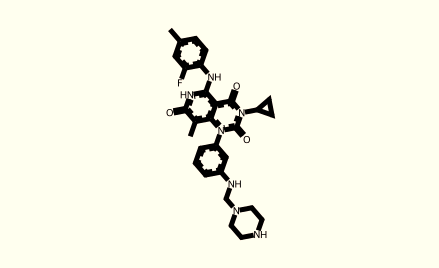 Cc1ccc(Nc2[nH]c(=O)c(C)c3c2c(=O)n(C2CC2)c(=O)n3-c2cccc(NCN3CCNCC3)c2)c(F)c1